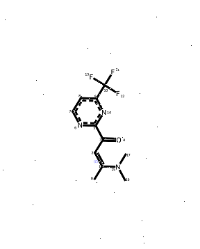 C/C(=C/C(=O)c1nccc(C(F)(F)F)n1)N(C)C